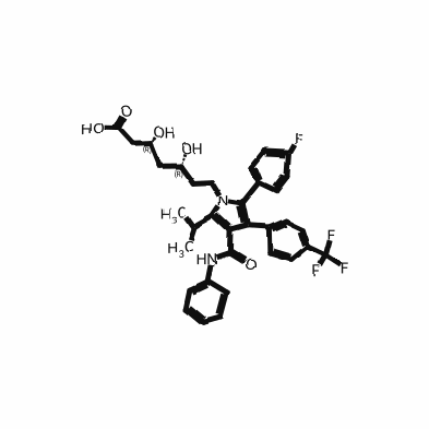 CC(C)c1c(C(=O)Nc2ccccc2)c(-c2ccc(C(F)(F)F)cc2)c(-c2ccc(F)cc2)n1CC[C@@H](O)C[C@@H](O)CC(=O)O